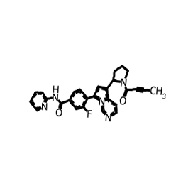 CC#CC(=O)N1CCCC1c1cc(-c2ccc(C(=O)Nc3ccccn3)cc2F)n2cnccc12